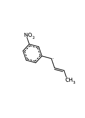 C/C=C/[CH]c1cccc([N+](=O)[O-])c1